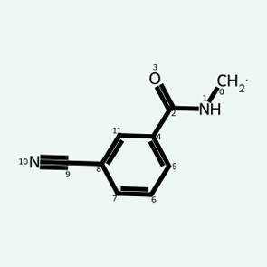 [CH2]NC(=O)c1cccc(C#N)c1